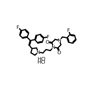 Cl.Cl.O=C1CN(Cc2ccccc2F)CC(=O)N1CCCN1CCC(C=C(c2ccc(F)cc2)c2ccc(F)cc2)C1